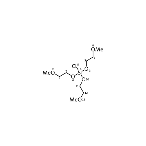 COCCO[Si](Cl)(OCCOC)OCCOC